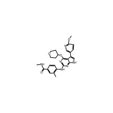 CNC(=O)c1ccc(Nc2nc(OC3CCOCC3)c3c(-c4ccc(OC)nc4)c[nH]c3n2)c(C)c1